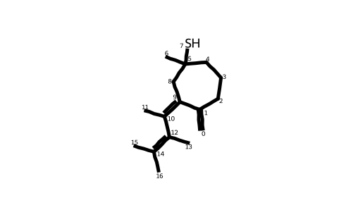 C=C1CCCC(C)(S)C/C1=C(\C)C(C)=C(C)C